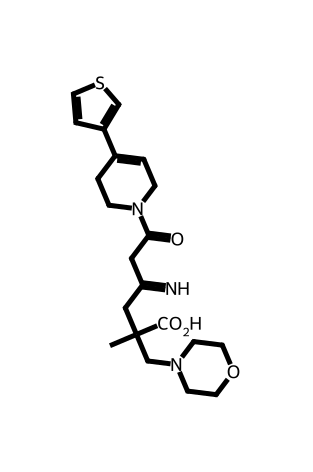 CC(CC(=N)CC(=O)N1CC=C(c2ccsc2)CC1)(CN1CCOCC1)C(=O)O